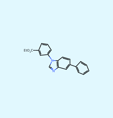 CCOC(=O)c1cccc(-n2cnc3cc(-c4ccccc4)ccc32)c1